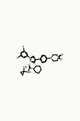 N#CC1(NC(=O)[C@@H]2CCCC[C@H]2c2nn(-c3cc(F)cc(F)c3)cc2-c2ccc(N3CCS(=O)(=O)CC3)cc2)CC1